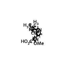 COc1nn(-c2ccn3ncc(-c4c(C(F)(F)F)nn(C)c4C)c3c2)cc1C(=O)O